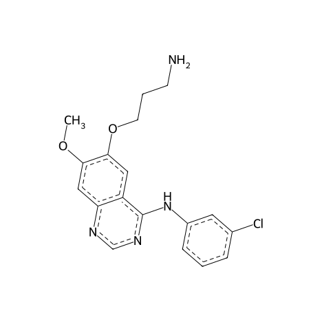 COc1cc2ncnc(Nc3cccc(Cl)c3)c2cc1OCCCN